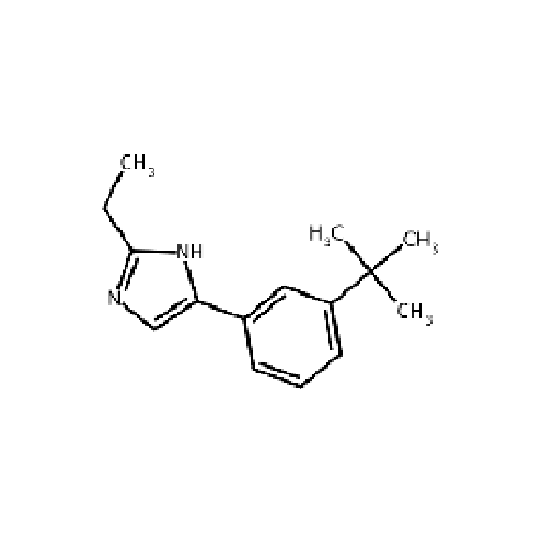 CCc1ncc(-c2cccc(C(C)(C)C)c2)[nH]1